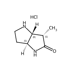 C[C@@H]1C(=O)N[C@H]2CCN[C@@H]21.Cl